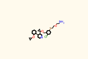 NCCOCCSc1ccc(Cl)c(COC2(c3cnccc3-c3ccccc3OC3CC3)CC2)c1